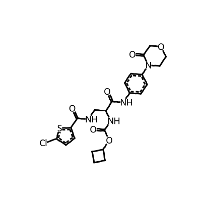 O=C(N[C@@H](CNC(=O)c1ccc(Cl)s1)C(=O)Nc1ccc(N2CCOCC2=O)cc1)OC1CCC1